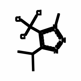 CC(C)c1nnn(C)c1C(Cl)(Cl)Cl